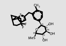 CS[C@H]1O[C@@H](c2ccc(C)c(Cc3ccc(C45CCC(F)(F)CC4C5)s3)c2)[C@H](O)[C@@H](O)[C@@H]1O